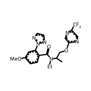 CCN(C(=O)c1ccc(OC)cc1-n1nccn1)C(C)COc1cnc(C(F)(F)F)cn1